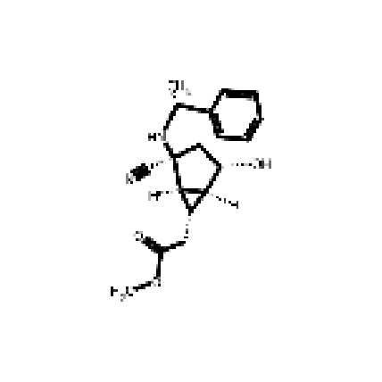 COC(=O)C[C@H]1[C@H]2[C@@H]1[C@@](C#N)(N[C@H](C)c1ccccc1)C[C@@H]2O